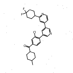 CC1CCC(C(=O)c2ccc(-c3cncc(-c4ccnc(C5CCC(F)(F)CC5)c4)c3)c(Cl)c2)CC1